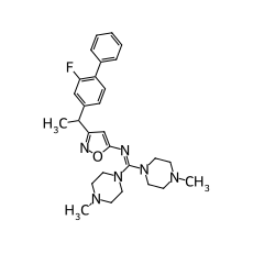 CC(c1ccc(-c2ccccc2)c(F)c1)c1cc(N=C(N2CCN(C)CC2)N2CCN(C)CC2)on1